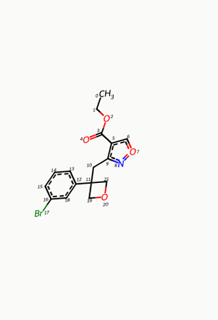 CCOC(=O)c1conc1CC1(c2cccc(Br)c2)COC1